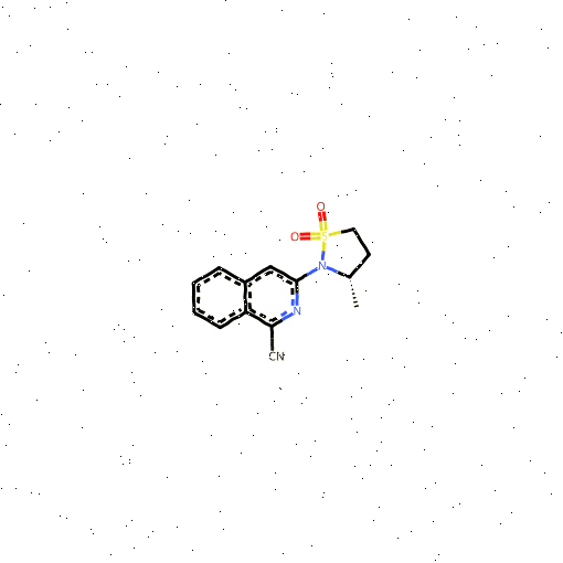 C[C@H]1CCS(=O)(=O)N1c1cc2ccccc2c(C#N)n1